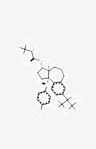 O=C(N[C@@H]1CC[C@@]2(S(=O)(=O)c3ccc(F)cc3)c3ccc(C(F)(C(F)(F)F)C(F)(F)F)cc3CCC[C@@H]12)[C@H](O)C(F)(F)F